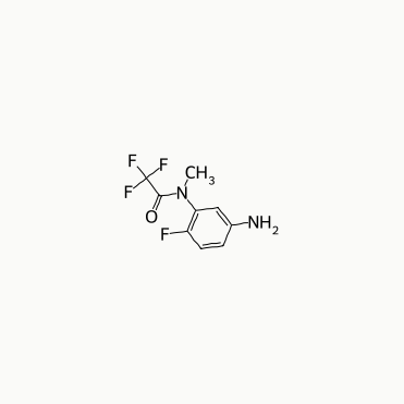 CN(C(=O)C(F)(F)F)c1cc(N)ccc1F